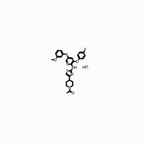 COc1cccc(Sc2cnc(Nc3nc(C4CCN(C(C)=O)CC4)cs3)c(Oc3ccc(F)cc3)c2)c1.Cl